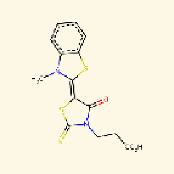 CN1/C(=C2\SC(=S)N(CCC(=O)O)C2=O)Sc2ccccc21